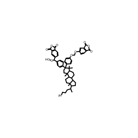 CC(C)CCCC(C)C1CCC2C3CCC4C(C)(CCC(c5ccc(OCOc6ccc7c(c6)C(=O)OC7=O)cc5)(c5ccc(C(OO)c6ccc7c(c6)C(=O)OC7=O)cc5)C4(C)C)C3CCC12C